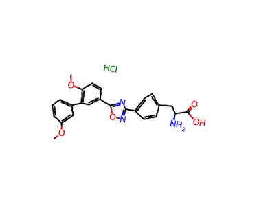 COc1cccc(-c2cc(-c3nc(-c4ccc(C[C@H](N)C(=O)O)cc4)no3)ccc2OC)c1.Cl